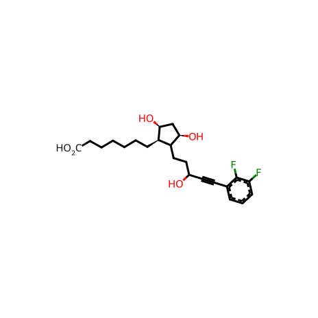 O=C(O)CCCCCC[C@@H]1C(CCC(O)C#Cc2cccc(F)c2F)[C@H](O)C[C@@H]1O